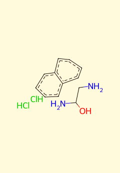 Cl.Cl.NCC(N)O.c1ccc2ccccc2c1